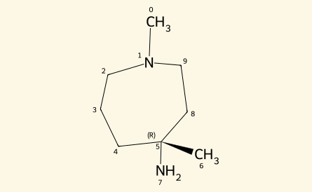 CN1CCC[C@@](C)(N)CC1